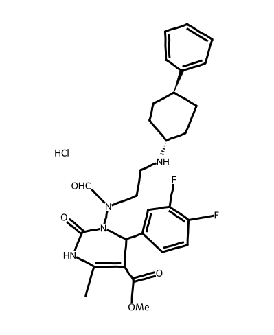 COC(=O)C1=C(C)NC(=O)N(N(C=O)CCN[C@H]2CC[C@H](c3ccccc3)CC2)C1c1ccc(F)c(F)c1.Cl